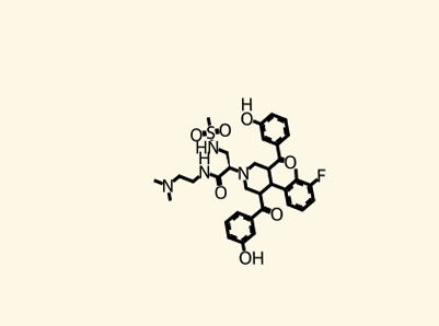 Cc1c(F)cccc1C1C(C(=O)c2cccc(O)c2)CN([C@H](CNS(C)(=O)=O)C(=O)NCCN(C)C)CC1C(=O)c1cccc(O)c1